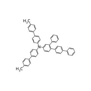 Cc1ccc(-c2ccc(N(c3ccc(-c4ccc(C)cc4)cc3)c3ccc(-c4ccc(-c5ccccc5)cc4)c(-c4ccccc4)c3)cc2)cc1